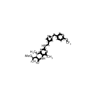 CO[C@H](C)[C@H]1C(=O)Nc2c(C)nc(NCc3cnn(Cc4ccc(OC(F)(F)F)nc4)c3)nc2N1C